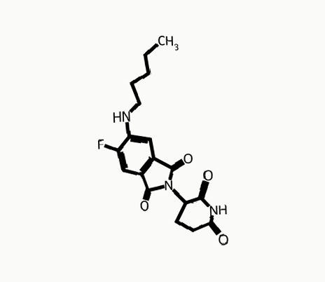 CCCCCNc1cc2c(cc1F)C(=O)N(C1CCC(=O)NC1=O)C2=O